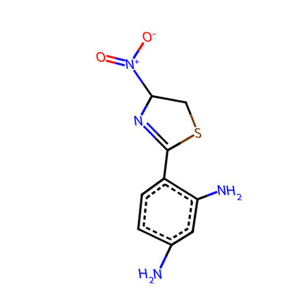 Nc1ccc(C2=NC([N+](=O)[O-])CS2)c(N)c1